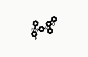 Fc1ccc2nc(-c3ccccc3)n(-c3ccc(-n4c5ccccc5c5c6oc7ccccc7c6ccc54)cc3)c2c1